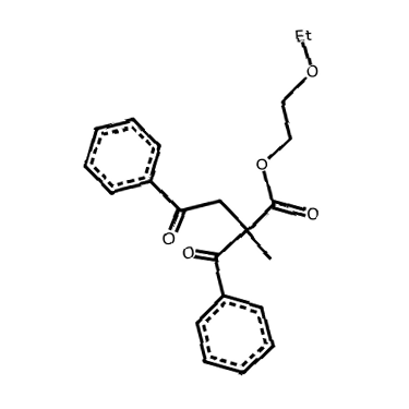 CCOCCOC(=O)C(C)(CC(=O)c1ccccc1)C(=O)c1ccccc1